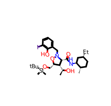 CC[C@@H]1CC[C@H](C)[C@@H](NC(=O)[C@@H]2[C@H]([C@H](C)O)[C@H](CO[Si](C)(C)C(C)(C)C)ON2Cc2cccc(I)c2O)C1